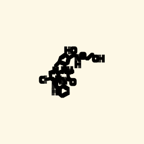 C=CC(=O)Nc1ccccc1Nc1nc(Nc2cc(C(O)NOCCO)ccc2C)ncc1Cl